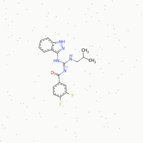 CC(C)CN/C(=N/C(=O)c1ccc(F)c(F)c1)Nc1n[nH]c2ccccc12